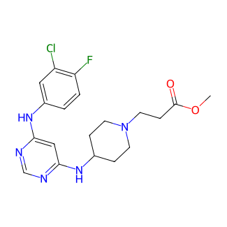 COC(=O)CCN1CCC(Nc2cc(Nc3ccc(F)c(Cl)c3)ncn2)CC1